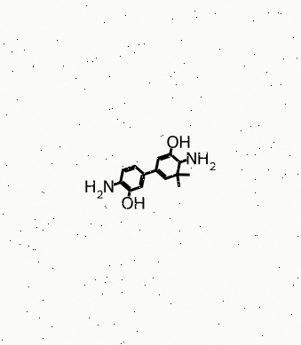 CC1(C)C=C(c2ccc(N)c(O)c2)C=C(O)C1N